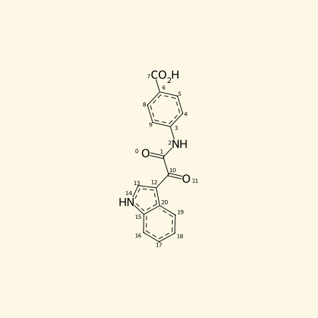 O=C(Nc1ccc(C(=O)O)cc1)C(=O)c1c[nH]c2ccccc12